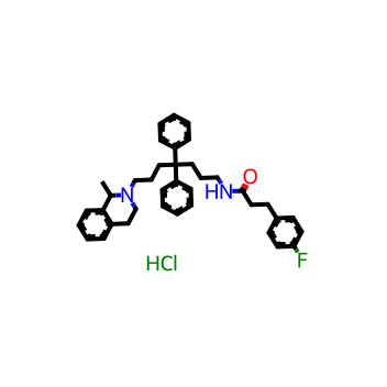 CC1c2ccccc2CCN1CCCC(CCCNC(=O)CCc1ccc(F)cc1)(c1ccccc1)c1ccccc1.Cl